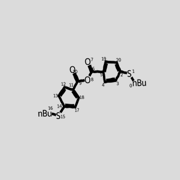 CCCCSc1ccc(C(=O)OC(=O)c2ccc(SCCCC)cc2)cc1